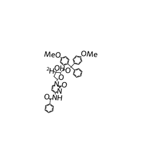 [2H][C@]1(O)C[C@H](n2ccc(NC(=O)c3ccccc3)nc2=O)O[C@@H]1COC(c1ccccc1)(c1ccc(OC)cc1)c1ccc(OC)cc1